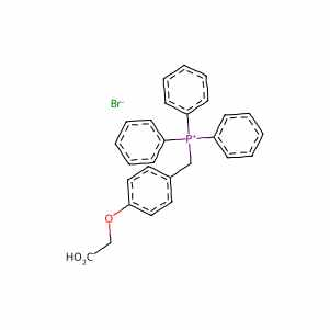 O=C(O)COc1ccc(C[P+](c2ccccc2)(c2ccccc2)c2ccccc2)cc1.[Br-]